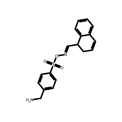 NCc1ccc(S(=O)(=O)ON=CC2CC=Cc3ccccc32)cc1